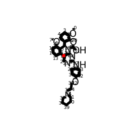 COc1ccc(OC)c(C(c2c(C)cccc2C)N(C(=O)O)c2ccnc(Nc3ccc(OCCCN4CCCCC4)cc3)n2)c1